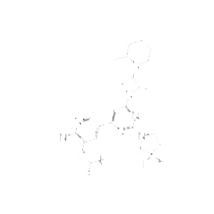 CC1CCCCN1C1CN(c2cc(-c3cnc(N)c(OC(F)F)c3)nc(N3CCC(F)(F)C3)n2)C1